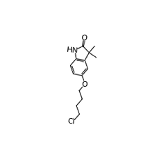 CC1(C)C(=O)Nc2ccc(OCCCCCl)cc21